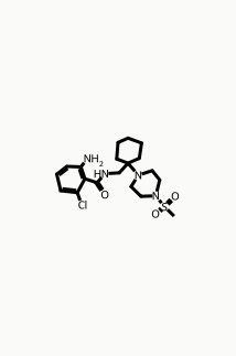 CS(=O)(=O)N1CCN(C2(CNC(=O)c3c(N)cccc3Cl)CCCCC2)CC1